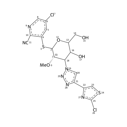 CO[C@@H]1C(Sc2cc(Cl)cnc2C#N)OC(CO)C(O)C1n1cc(-c2csc(Cl)n2)nn1